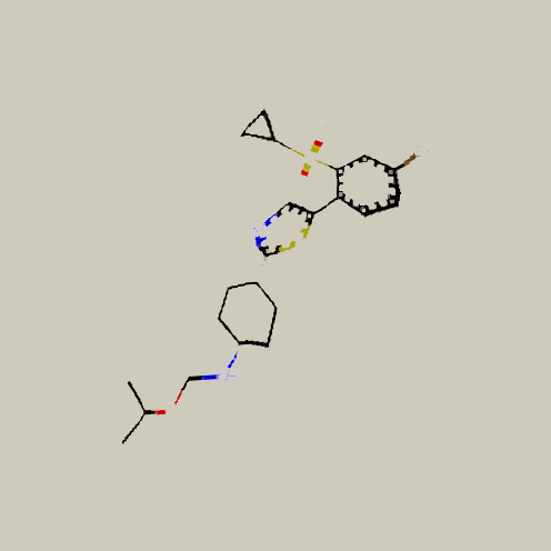 CC(C)OCN[C@H]1CC[C@H](c2ncc(-c3ccc(Br)cc3S(=O)(=O)C3CC3)s2)CC1